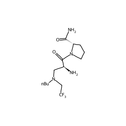 CCCCN(C[C@H](N)C(=O)N1CCC[C@H]1C(N)=O)CC(F)(F)F